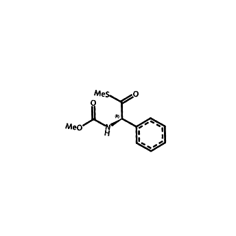 COC(=O)N[C@@H](C(=O)SC)c1ccccc1